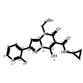 CC(C)(C)Cn1c(=O)c(C(=O)NC2CC2)c(O)n2nc(-c3cccnc3F)cc12